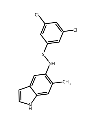 Cc1cc2[nH]ccc2cc1NSc1cc(Cl)cc(Cl)c1